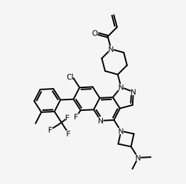 C=CC(=O)N1CCC(n2ncc3c(N4CC(N(C)C)C4)nc4c(F)c(-c5cccc(C)c5C(F)(F)F)c(Cl)cc4c32)CC1